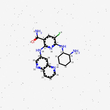 NC(=O)c1cc(F)c(N[C@@H]2CCCC[C@@H]2N)nc1Nc1cnc2cccnc2c1